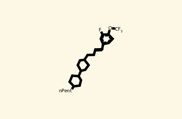 CCCCCC1CCC(C2CCC(CCC=Cc3ccc(OC(F)(F)F)c(F)c3)CC2)CC1